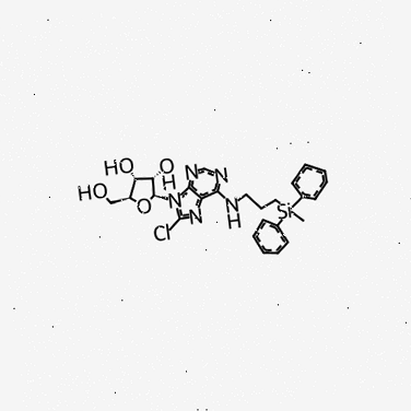 C[Si](CCCNc1ncnc2c1nc(Cl)n2[C@H]1O[C@@H](CO)[C@H](O)[C@@H]1O)(c1ccccc1)c1ccccc1